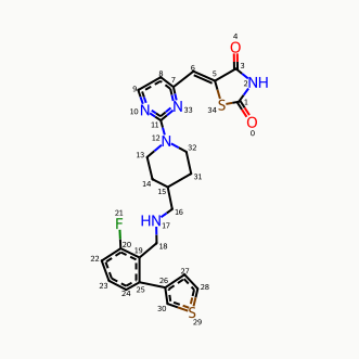 O=C1NC(=O)C(=Cc2ccnc(N3CCC(CNCc4c(F)cccc4-c4ccsc4)CC3)n2)S1